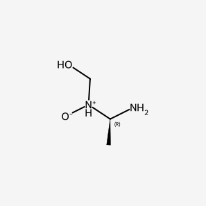 C[C@H](N)[NH+]([O-])CO